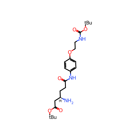 CC(C)(C)OC(=O)C[C@H](N)CCC(=O)Nc1ccc(OCCNC(=O)OC(C)(C)C)cc1